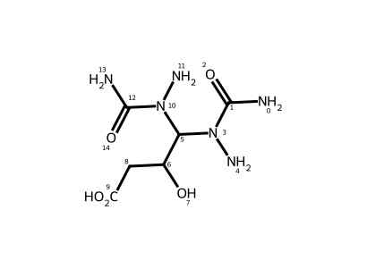 NC(=O)N(N)C(C(O)CC(=O)O)N(N)C(N)=O